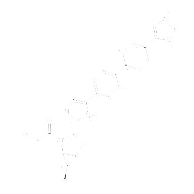 CCCC(=O)N1C2C(C[C@H]1c1ncc(-c3ccc(C45CCC(c6cnc[nH]6)(CC4)CC5)cc3)[nH]1)[C@H]2C